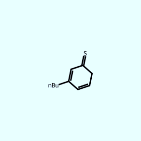 C[CH]CCC1=CC(=S)CC=C1